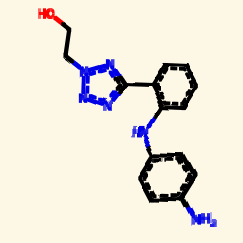 Nc1ccc(Nc2ccccc2-c2nnn(CCO)n2)cc1